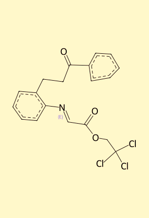 O=C(/C=N/c1ccccc1CCC(=O)c1ccccc1)OCC(Cl)(Cl)Cl